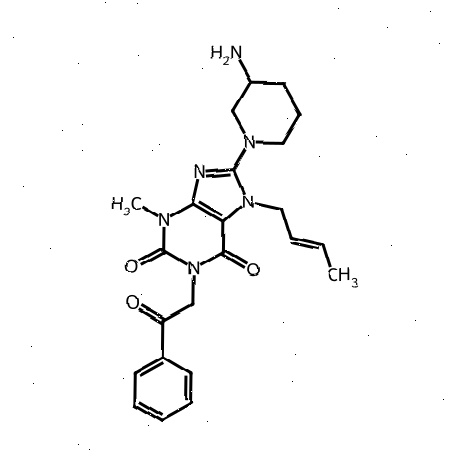 CC=CCn1c(N2CCCC(N)C2)nc2c1c(=O)n(CC(=O)c1ccccc1)c(=O)n2C